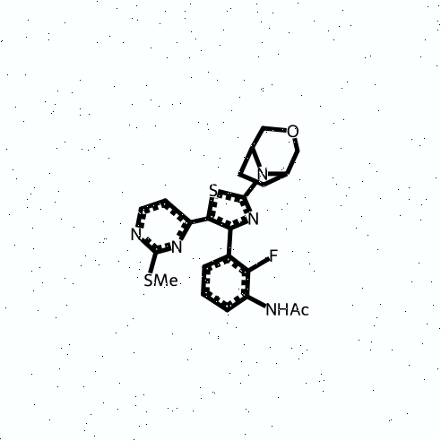 CSc1nccc(-c2sc(N3C4CCC3COC4)nc2-c2cccc(NC(C)=O)c2F)n1